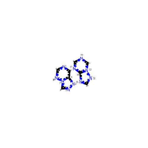 c1ncc2nncn2n1.c1ncn2ncnc2n1